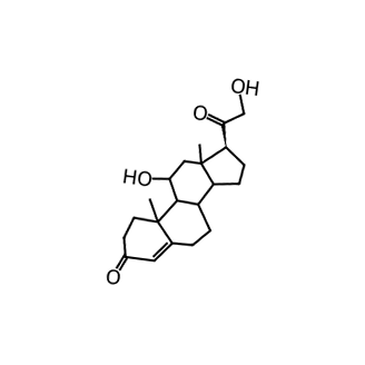 CC12CCC(=O)C=C1CCC1C2C(O)CC2(C)C1CC[C@@H]2C(=O)CO